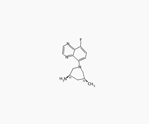 C[C@H]1C[C@@H](N)CN(c2ccc(F)c3nccnc23)C1